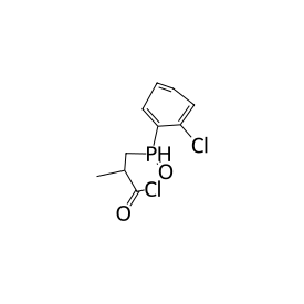 CC(C[PH](=O)c1ccccc1Cl)C(=O)Cl